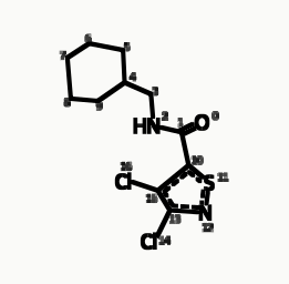 O=C(NCC1CCCCC1)c1snc(Cl)c1Cl